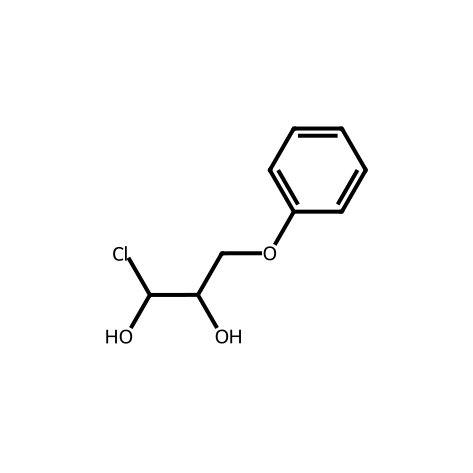 OC(Cl)C(O)COc1ccccc1